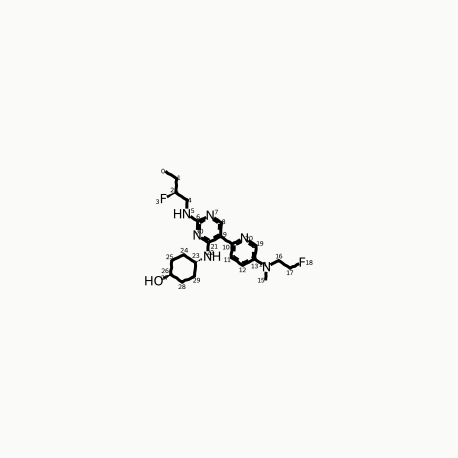 CC[C@H](F)CNc1ncc(-c2ccc(N(C)CCF)cn2)c(N[C@H]2CC[C@H](O)CC2)n1